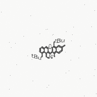 Cc1ccc2c(C)c3c(c(CC(C)(C)C)c2c1)Oc1cc2cccc(CC(C)(C)C)c2c2cc[n+](C)c-3c12